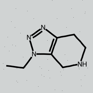 CCn1nnc2c1CNCC2